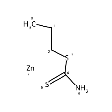 CCCSC(N)=S.[Zn]